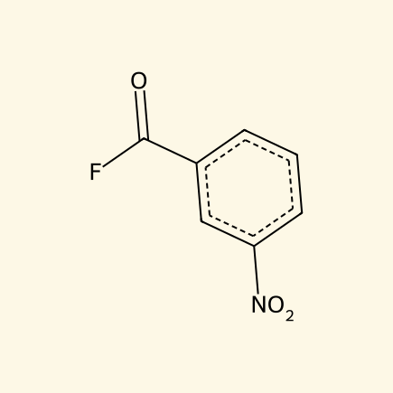 O=C(F)c1cccc([N+](=O)[O-])c1